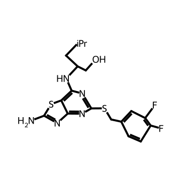 CC(C)CC(CO)Nc1nc(SCc2ccc(F)c(F)c2)nc2nc(N)sc12